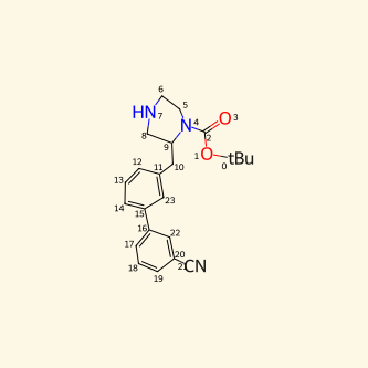 CC(C)(C)OC(=O)N1CCNCC1Cc1cccc(-c2cccc(C#N)c2)c1